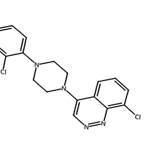 Clc1ccccc1N1CCN(c2cnnc3c(Cl)cccc23)CC1